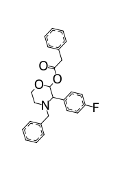 O=C(Cc1ccccc1)OC1OCCN(Cc2ccccc2)C1c1ccc(F)cc1